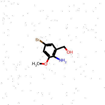 COc1cc(Br)cc(CO)c1N